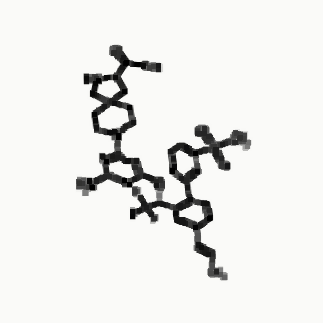 CC=Cc1ccc(-c2cccc(S(C)(=O)=O)c2)c([C@@H](Oc2cc(N3CCC4(CC3)CNC(C(=O)O)C4)nc(N)n2)C(F)(F)F)c1